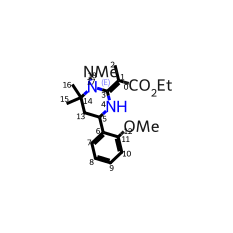 CCOC(=O)/C(C)=C1\NC(c2ccccc2OC)CC(C)(C)N1NC